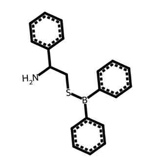 NC(CSB(c1ccccc1)c1ccccc1)c1ccccc1